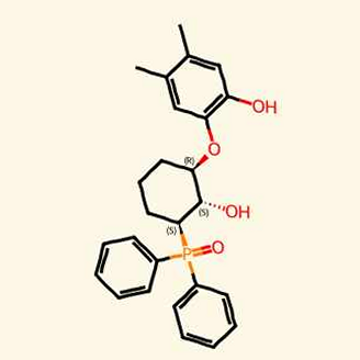 Cc1cc(O)c(O[C@@H]2CCC[C@H](P(=O)(c3ccccc3)c3ccccc3)[C@H]2O)cc1C